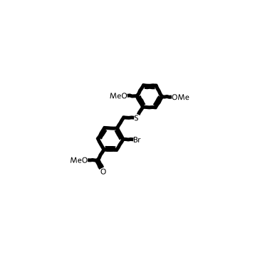 COC(=O)c1ccc(CSc2cc(OC)ccc2OC)c(Br)c1